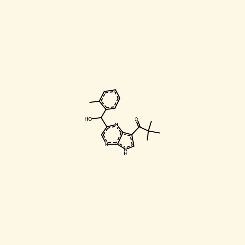 Cc1ccccc1C(O)c1cnc2[nH]cc(C(=O)C(C)(C)C)c2n1